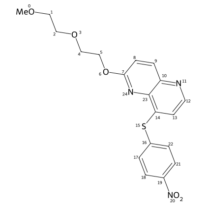 COCCOCCOc1ccc2nccc(Sc3ccc([N+](=O)[O-])cc3)c2n1